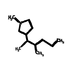 CCCC(C)C(C)C1CCN(C)C1